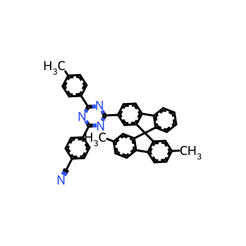 Cc1ccc(-c2nc(-c3ccc(C#N)cc3)nc(-c3ccc4c(c3)C3(c5ccccc5-4)c4cc(C)ccc4-c4ccc(C)cc43)n2)cc1